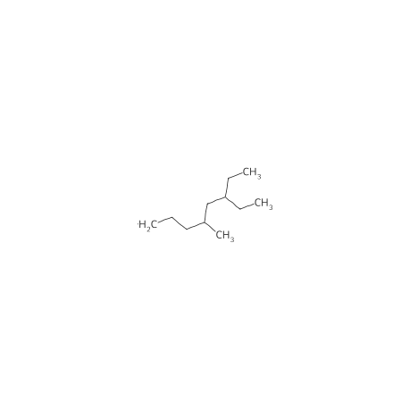 [CH2]CCC(C)CC(CC)CC